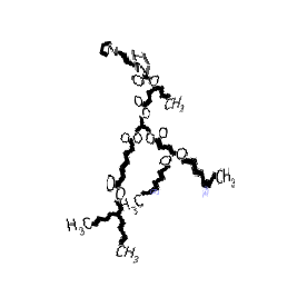 CC/C=C\CCCCOC(CCC(=O)OCC(COC(=O)CCCCCC(=O)OCCC(CCCCC)CCCCC)COC(=O)CCC(CCCC)OC(=O)NCCN1CCCC1)OCCCC/C=C\CC